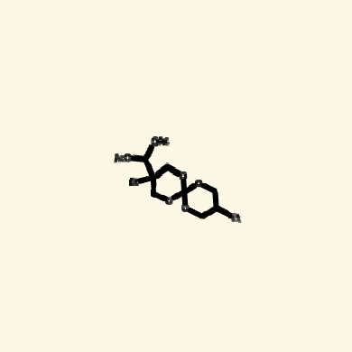 CCC1COC2(OC1)OCC(CC)(C(OC(C)=O)OC(C)=O)CO2